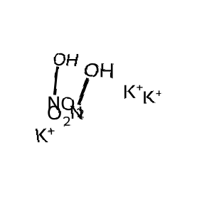 O=[N+]([O-])O.O=[N+]([O-])O.[K+].[K+].[K+]